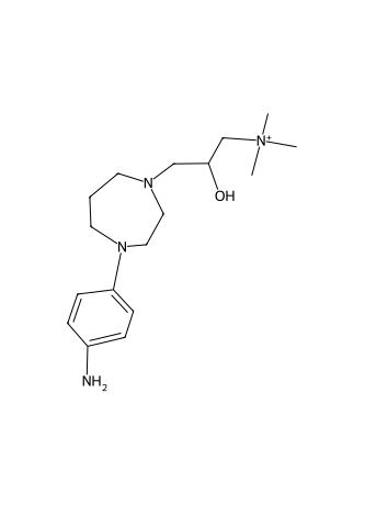 C[N+](C)(C)CC(O)CN1CCCN(c2ccc(N)cc2)CC1